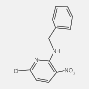 O=[N+]([O-])c1ccc(Cl)nc1NCc1ccccc1